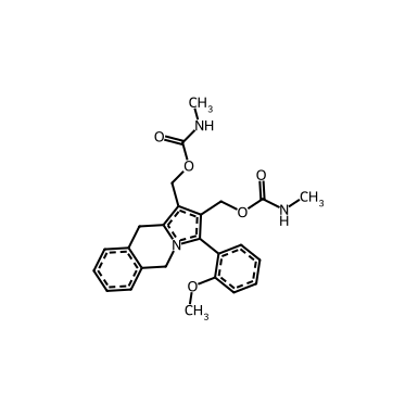 CNC(=O)OCc1c(COC(=O)NC)c(-c2ccccc2OC)n2c1Cc1ccccc1C2